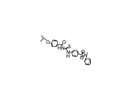 CC(C)COc1ccc(C(=O)NC(=S)Nc2ccc(S(=O)(=O)N(C)c3ccccc3)cc2)cc1